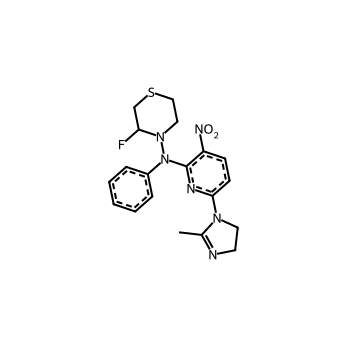 CC1=NCCN1c1ccc([N+](=O)[O-])c(N(c2ccccc2)N2CCSCC2F)n1